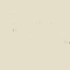 CCCCC1(C2CCCC2)Cc2cc(OCCCC(=O)OC(C)(C)C(=O)O)c(Cl)c(Cl)c2C1=O